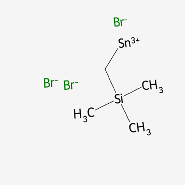 C[Si](C)(C)[CH2][Sn+3].[Br-].[Br-].[Br-]